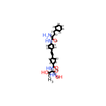 C[C@@H](O)[C@H](NC(=O)c1ccc(C#Cc2ccc(NC(=O)[C@H](N)CCc3ccccc3)cc2)cc1)C(=O)NO